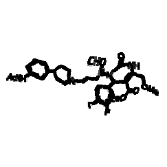 COCC1=C(C(=O)OC)C(c2ccc(F)c(F)c2)N(N(C=O)CCCN2CCC(c3cccc(NC(C)=O)c3)CC2)C(=O)N1